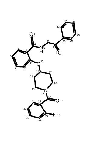 O=C(CNC(=O)c1ccccc1OC1CCN(C(=O)c2ccccc2F)CC1)c1ccccc1